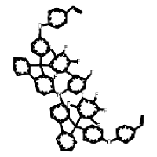 C=Cc1ccc(Oc2ccc(C3(c4c(F)c(F)c(F)c(F)c4F)c4ccccc4-c4ccc(N(c5ccc(F)cc5)c5ccc6c(c5)C(c5ccc(Oc7ccc(C=C)cc7)cc5)(c5c(F)c(F)c(F)c(F)c5F)c5ccccc5-6)cc43)cc2)cc1